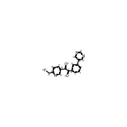 O=C(C(=O)c1cccc(-c2cncnc2)c1)c1ccc(CF)nc1